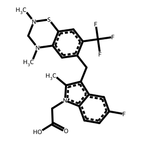 Cc1c(Cc2cc3c(cc2C(F)(F)F)SN(C)CN3C)c2cc(F)ccc2n1CC(=O)O